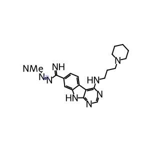 CN/N=N\C(=N)c1ccc2c(c1)[nH]c1ncnc(NCCCN3CCCCC3)c12